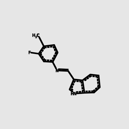 Cc1ccc(N=Cc2c[nH]c3ccccc23)cc1F